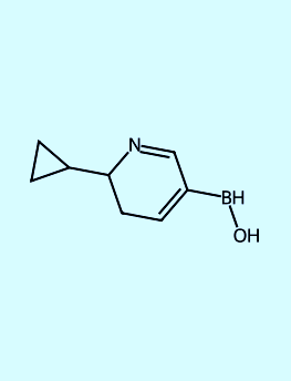 OBC1=CCC(C2CC2)N=C1